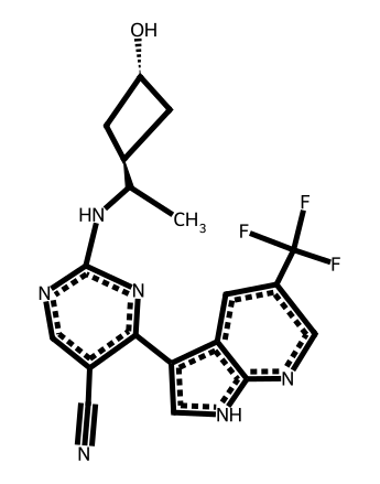 CC(Nc1ncc(C#N)c(-c2c[nH]c3ncc(C(F)(F)F)cc23)n1)[C@H]1C[C@H](O)C1